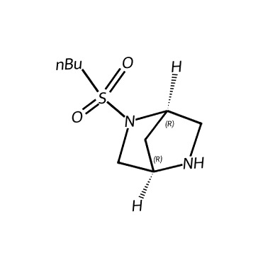 CCCCS(=O)(=O)N1C[C@H]2C[C@@H]1CN2